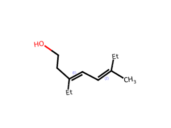 CC/C(C)=C\C=C(/CC)CCO